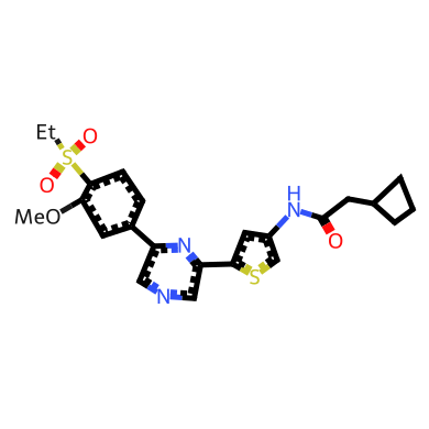 CCS(=O)(=O)c1ccc(-c2cncc(-c3cc(NC(=O)CC4CCC4)cs3)n2)cc1OC